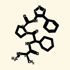 CN[C@H](C)C(=O)NC(C(=O)N1CCC[C@H]1C(=O)Nc1snnc1-c1ccccc1)C1CCCCC1